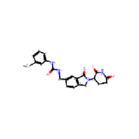 COc1cccc(NC(=O)NCc2ccc3c(c2)C(=O)N(C2CCC(=O)NC2=O)C3)c1